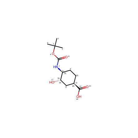 CC(C)(C)OC(=O)N[C@H]1CC[C@@H](C(=O)O)C[C@@H]1O